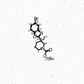 CC(C)(C)OC(=O)N1CCC[C@](F)(c2nc3cc(Br)ccc3o2)C1